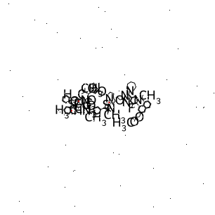 CCc1cccc2cc(OCOC)cc(-c3ncc4c(N5CCCCCC5)nc(OC[C@]56CCCN5[C@H](COc5cc(C(C(=O)N7C[C@H](O[Si](c8ccccc8)(c8ccccc8)C(C)(C)C)C[C@H]7C(=O)N[C@@H](C)c7ccc(-c8scnc8C)cc7)C(C)C)on5)CC6)nc4c3F)c12